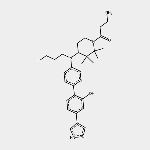 CC1(C)C(N(CCCF)c2ccc(-c3ccc(-c4cn[nH]c4)cc3O)nn2)CCN(C(=O)CCN)C1(C)C